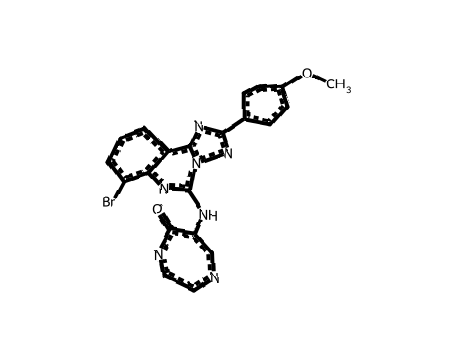 COc1ccc(-c2nc3c4cccc(Br)c4nc(Nc4cnccnc4=O)n3n2)cc1